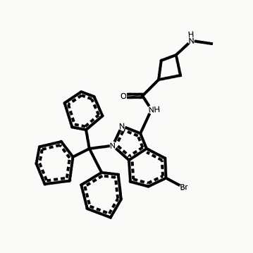 CNC1CC(C(=O)Nc2nn(C(c3ccccc3)(c3ccccc3)c3ccccc3)c3ccc(Br)cc23)C1